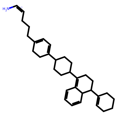 N/C=C\CCCC1=CC=C(C2CCC(C3=C4C=CC=CC4C(C4=CCCCC4)CC3)CC2)CC1